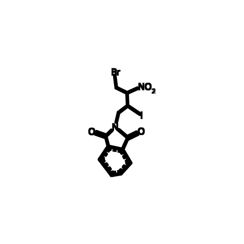 O=C1c2ccccc2C(=O)N1CC(I)C(CBr)[N+](=O)[O-]